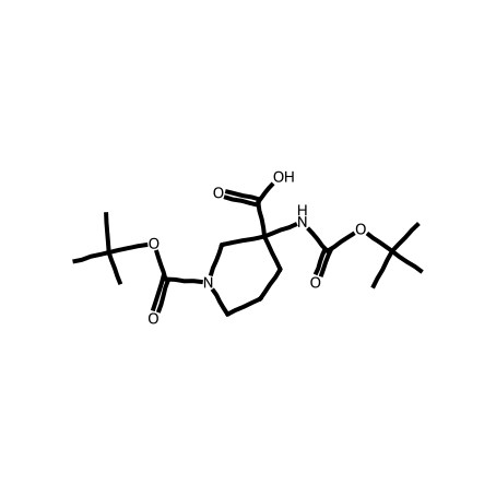 CC(C)(C)OC(=O)NC1(C(=O)O)CCCN(C(=O)OC(C)(C)C)C1